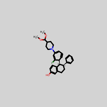 COC(OC)C1CCN(C2=CC#CC([C@@H]3c4ccc(O)cc4CC[C@@H]3c3ccccc3)C(F)=C2)CC1